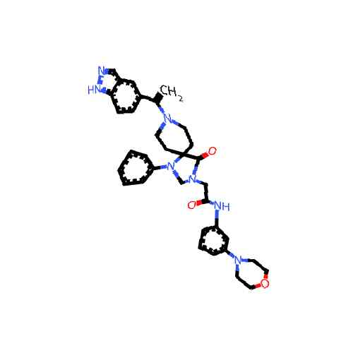 C=C(c1ccc2[nH]ncc2c1)N1CCC2(CC1)C(=O)N(CC(=O)Nc1cccc(N3CCOCC3)c1)CN2c1ccccc1